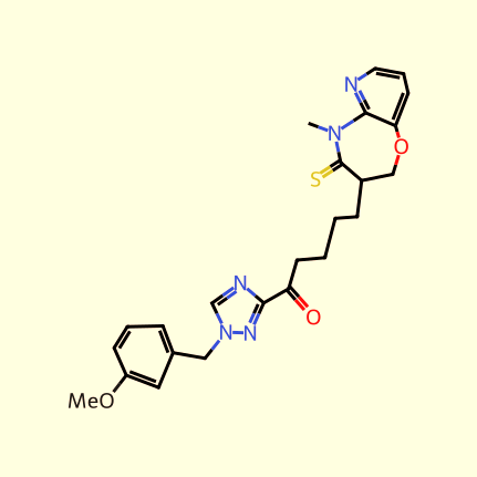 COc1cccc(Cn2cnc(C(=O)CCCCC3COc4cccnc4N(C)C3=S)n2)c1